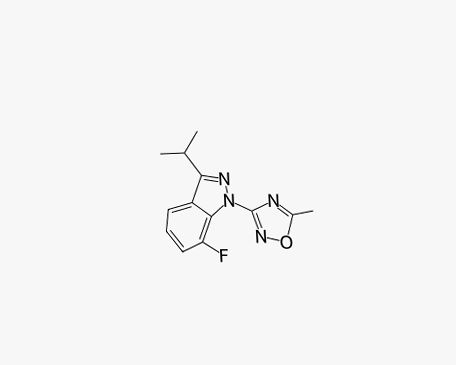 Cc1nc(-n2nc(C(C)C)c3cccc(F)c32)no1